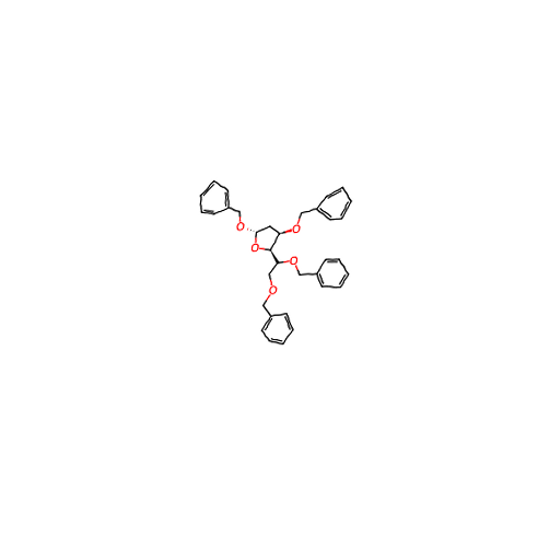 c1ccc(COCC(OCc2ccccc2)[C@H]2O[C@H](OCc3ccccc3)C[C@H]2OCc2ccccc2)cc1